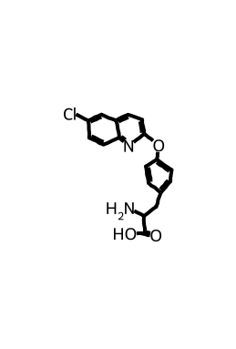 NC(Cc1ccc(Oc2ccc3cc(Cl)ccc3n2)cc1)C(=O)O